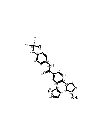 C[C@@H]1CCN(c2ncc(C(=O)Nc3ccc(OC(F)(F)Cl)cc3)cc2-c2ccn[nH]2)C1